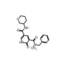 CN(Cc1ccccc1)C(=O)c1cc(C(=O)NC2CCCOC2)c[nH]c1=O